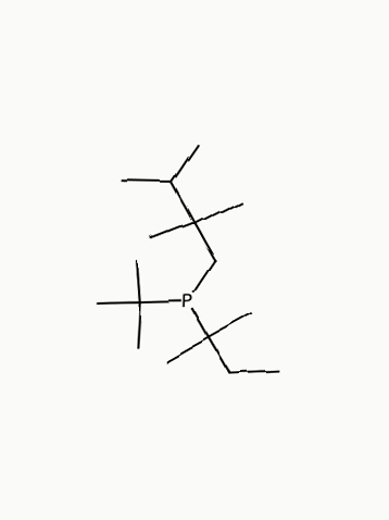 CCC(C)(C)P(CC(C)(C)C(C)C)C(C)(C)C